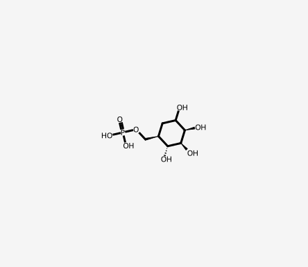 O=P(O)(O)OC[C@H]1CC(O)[C@@H](O)[C@@H](O)[C@@H]1O